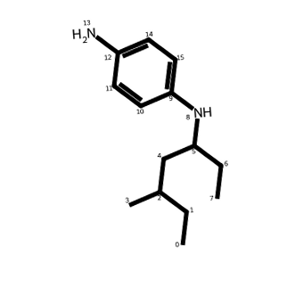 CCC(C)CC(CC)Nc1ccc(N)cc1